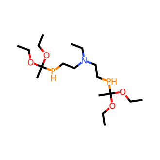 CCOC(C)(OCC)PCCN(CC)CCPC(C)(OCC)OCC